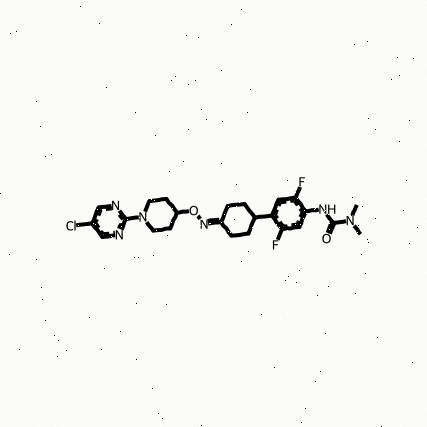 CN(C)C(=O)Nc1cc(F)c(C2CCC(=NOC3CCN(c4ncc(Cl)cn4)CC3)CC2)cc1F